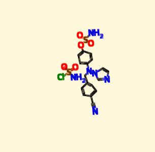 N#Cc1ccc(CN(c2ccc(OS(N)(=O)=O)cc2)n2ccnc2)cc1.NS(=O)(=O)Cl